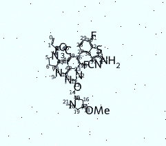 C=CC(=O)N1CC[C@@H](N(C)c2nc(OC[C@@H]3C[C@@H](OC)CN3C)nc3c(F)c(-c4ccc(F)c5sc(N)c(C#N)c45)c(C(F)(F)F)cc23)[C@H]1C